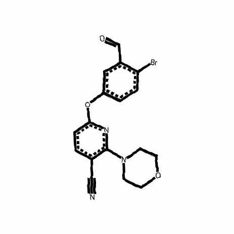 N#Cc1ccc(Oc2ccc(Br)c(C=O)c2)nc1N1CCOCC1